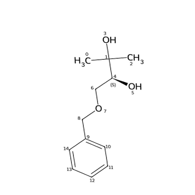 CC(C)(O)[C@@H](O)COCc1ccccc1